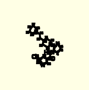 O=C(Nc1cccnc1N1CCC(CCN2CCCCC2)CC1)c1cncc(Cl)c1